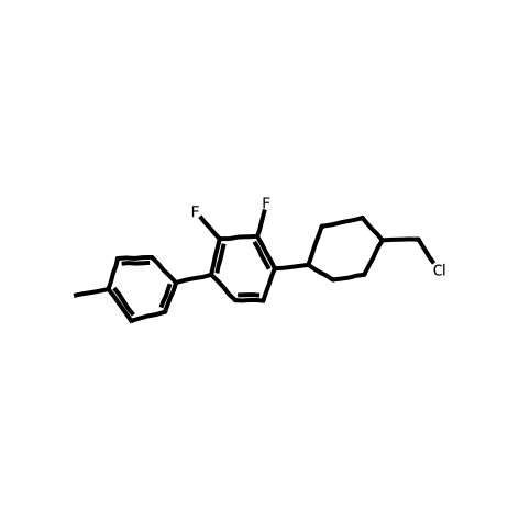 Cc1ccc(-c2ccc(C3CCC(CCl)CC3)c(F)c2F)cc1